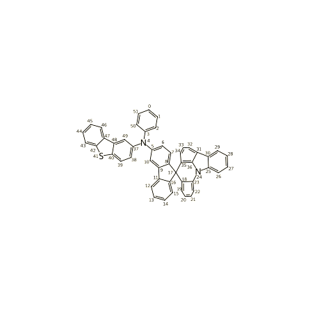 c1ccc(N(c2ccc3c(c2)-c2ccccc2C32c3ccccc3-n3c4ccccc4c4cccc2c43)c2ccc3sc4ccccc4c3c2)cc1